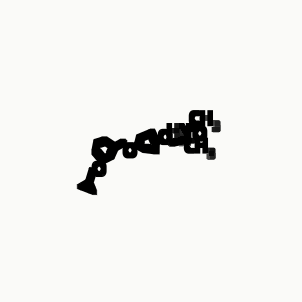 CC(=O)N[C@@H](C)COc1ccc(OCc2cccc(OCC3CC3)c2)cc1